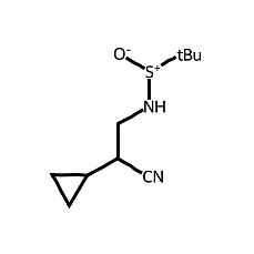 CC(C)(C)[S+]([O-])NCC(C#N)C1CC1